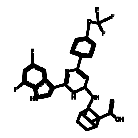 O=C(O)C1C2CCC(CC2)C1NC1C=C(c2ccc(OC(F)(F)F)cc2)N=C(c2c[nH]c3c(F)cc(F)cc23)N1